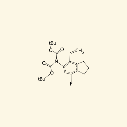 C=Cc1c(N(C(=O)OC(C)(C)C)C(=O)OC(C)(C)C)cc(F)c2c1CCC2